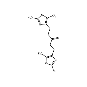 Cc1nc(CCC(=O)CCc2nc(C)oc2C(F)(F)F)c(C(F)(F)F)o1